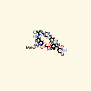 CNC(=O)COc1cc2cc(Nc3nc(N4CCN(CC5CCN(c6cccc7c(C8CCC(=O)NC8=O)nn(C)c67)CC5)CC4)ncc3Cl)cnc2n(CCOC)c1=O